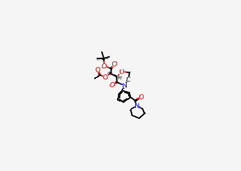 CC(=O)O[C@@H](C(=O)OC(C)(C)C)[C@H]1OCCN(c2cccc(C(=O)N3CCCCC3)c2)C1=O